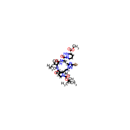 COC(=O)[C@@H]1CCCN(C(=O)[C@@H]2Cc3nc(Br)nn3/C=C/[C@@H]3[C@H](CCN3C(=O)OC(C)(C)C)C(=O)N(C)[C@@H](C(C)C)C(=O)N2)N1